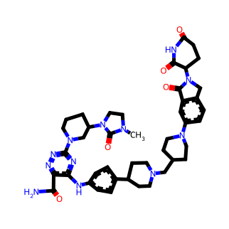 CN1CCN(C2CCCN(c3nnc(C(N)=O)c(Nc4ccc(C5CCN(CC6CCN(c7ccc8c(c7)C(=O)N(C7CCC(=O)NC7=O)C8)CC6)CC5)cc4)n3)C2)C1=O